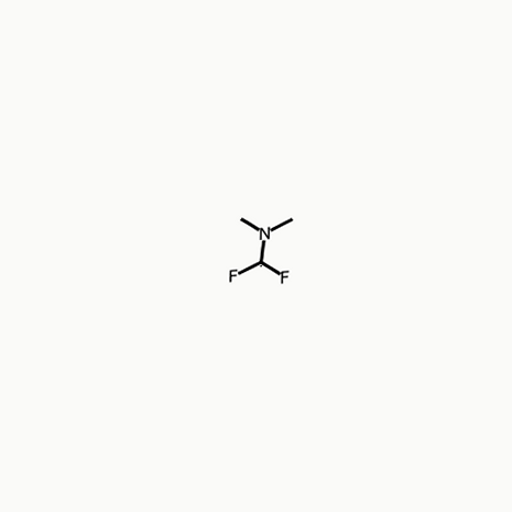 CN(C)[C](F)F